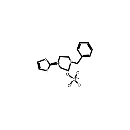 [O-][Cl+3]([O-])([O-])[O-].c1ccc(CN2CC[N+](=c3sccs3)CC2)cc1